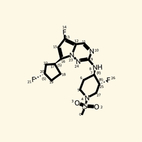 CS(=O)(=O)N1CC[C@@H](Nc2ncc3c(F)cc([C@H]4CC[C@H](F)C4)n3n2)[C@H](F)C1